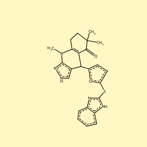 CN1C2=C(C(=O)C(C)(C)CC2)C(c2ccc(Sc3nc4ccccc4[nH]3)o2)c2c[nH]nc21